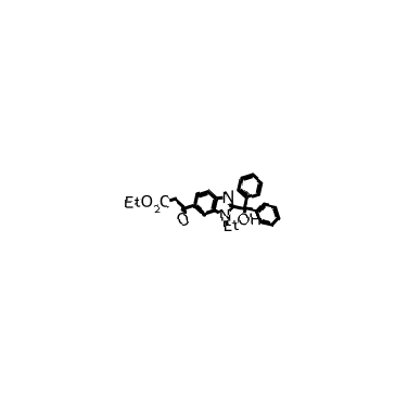 CCOC(=O)CC(=O)c1ccc2nc(C(O)(c3ccccc3)c3ccccc3)n(CC)c2c1